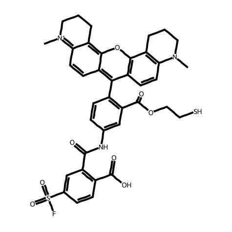 CN1CCCc2c1ccc1c2Oc2c3c(ccc2=C1c1ccc(NC(=O)c2cc(S(=O)(=O)F)ccc2C(=O)O)cc1C(=O)OCCS)=[N+](C)CCC3